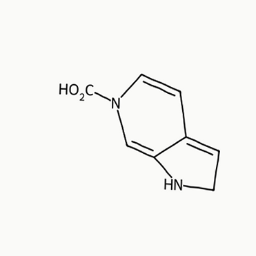 O=C(O)N1C=CC2=CCNC2=C1